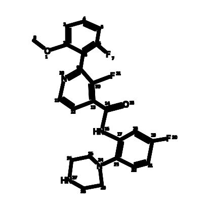 COc1cccc(F)c1-c1nccc(C(=O)Nc2cc(F)ccc2N2CCNCC2)c1F